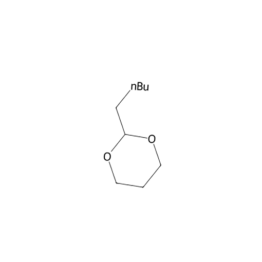 [CH2]CCCCC1OCCCO1